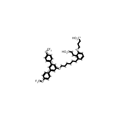 O=C(O)CCCOc1cccc(CCCCCCOc2cc(-c3ccc(OC(F)(F)F)cc3)cc(-c3ccc(OC(F)(F)F)cc3)c2)c1CCC(=O)O